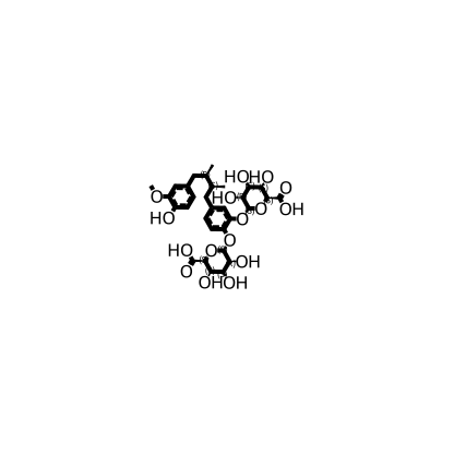 COc1cc(C[C@@H](C)[C@@H](C)Cc2ccc(O[C@@H]3O[C@H](C(=O)O)[C@@H](O)[C@H](O)[C@H]3O)c(O[C@@H]3O[C@H](C(=O)O)[C@@H](O)[C@H](O)[C@H]3O)c2)ccc1O